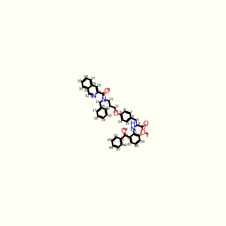 COC(=O)[C@H](Cc1ccc(OCCCN(Cc2ccccc2)C(=O)c2cc3ccccc3cn2)cc1)Nc1ccccc1C(=O)c1ccccc1